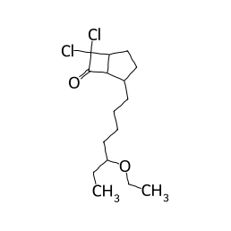 CCOC(CC)CCCCC1CCC2C1C(=O)C2(Cl)Cl